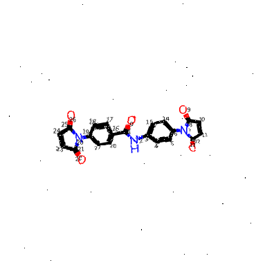 O=C(Nc1ccc(N2C(=O)C=CC2=O)cc1)c1ccc(N2C(=O)C=CC2=O)cc1